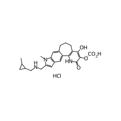 CC1CC1CNCc1cc2cc3c(cc2n1C)CCCc1c-3[nH]c(=O)c(OC(=O)O)c1O.Cl